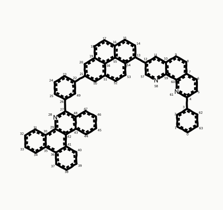 c1ccc(-c2ccc3ccc4cc(-c5ccc6ccc7cc(-c8cccc(-c9nc%10c%11ccccc%11c%11ccccc%11c%10c%10ccccc9%10)c8)cc8ccc5c6c78)cnc4c3n2)cc1